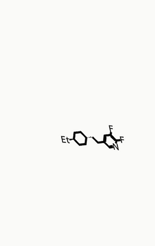 CC[C@H]1CC[C@H](CCc2cnc(F)c(F)c2)CC1